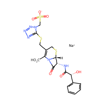 O=C(O)C1=C(CSc2nnnn2CS(=O)(=O)[O-])CS[C@@H]2[C@H](NC(=O)[C@H](O)c3ccccc3)C(=O)N12.[Na+]